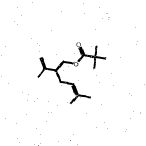 C=C(C)C(CC=C(C)C)COC(=O)C(C)(C)C